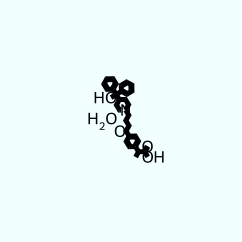 CC(C(=O)O)c1ccc(C(=O)CCCN2CCC(C(O)(c3ccccc3)c3ccccc3)CC2)cc1.O